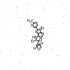 CCC(Nc1ncnc2c1nc(-c1cnc(C)nc1)n2CC)C(=O)N1C[C@H]2C[C@H]1CO2